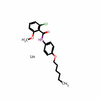 CCCCCCOc1ccc(PC(=O)c2c(Cl)cccc2OC)cc1.[LiH]